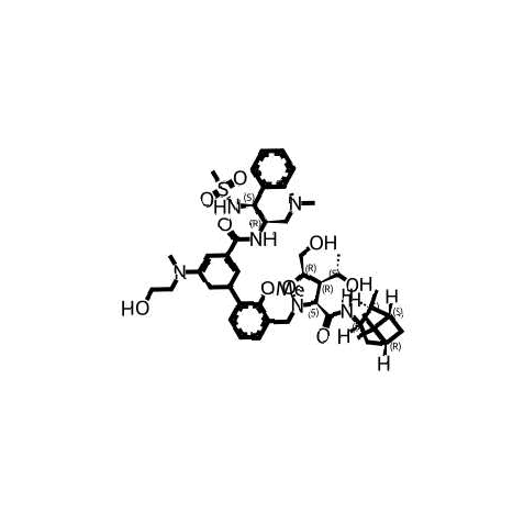 COc1c(CN2O[C@@H](CO)[C@@H]([C@H](C)O)[C@H]2C(=O)N[C@H]2C[C@H]3C[C@@H]([C@@H]2C)C3(C)C)cccc1C1C=C(C(=O)N[C@H](CN(C)C)[C@@H](NS(C)(=O)=O)c2ccccc2)C=C(N(C)CCO)C1